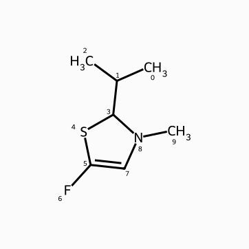 CC(C)C1SC(F)=CN1C